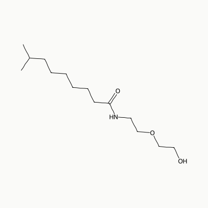 CC(C)CCCCCCC(=O)NCCOCCO